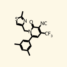 [C-]#[N+]c1c(C(F)(F)F)cc(-c2cc(C)cc(C)c2)n(Cc2csc(C)n2)c1=O